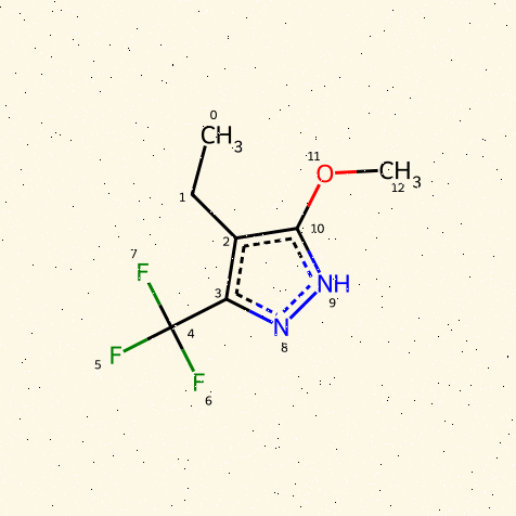 CCc1c(C(F)(F)F)n[nH]c1OC